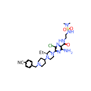 CC[C@H]1CN(c2nc(N)c(C(=O)NCCNS(=O)(=O)N(C)C)nc2Cl)CCN1C1CCN(Cc2ccc(C#N)cc2)CC1